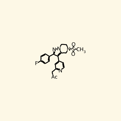 CC(=O)Cc1cc(-c2c(-c3ccc(F)cc3)nn3c2CN(S(C)(=O)=O)CC3)ccn1